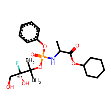 BC(B)(OP(=O)(NC(C)C(=O)OC1CCCCC1)Oc1ccccc1)[C@](O)(F)CO